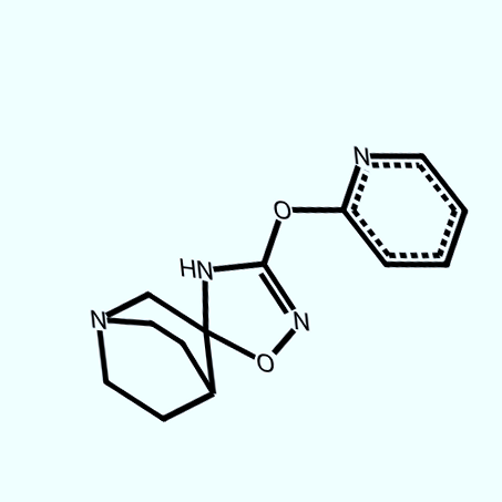 c1ccc(OC2=NOC3(CN4CCC3CC4)N2)nc1